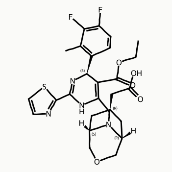 CCOC(=O)C1=C(CN2[C@@H]3COC[C@H]2C[C@H](CC(=O)O)C3)NC(c2nccs2)=N[C@H]1c1ccc(F)c(F)c1C